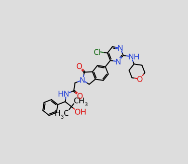 CC(C)(O)C(NC(=O)CN1Cc2ccc(-c3nc(NC4CCOCC4)ncc3Cl)cc2C1=O)c1ccccc1